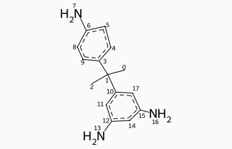 CC(C)(c1ccc(N)cc1)c1cc(N)cc(N)c1